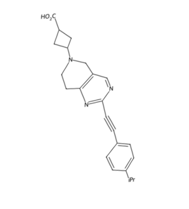 CC(C)c1ccc(C#Cc2ncc3c(n2)CCN(C2CC(C(=O)O)C2)C3)cc1